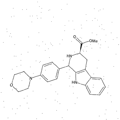 COC(=O)[C@H]1Cc2c([nH]c3ccccc23)C(c2ccc(N3CCOCC3)cc2)N1